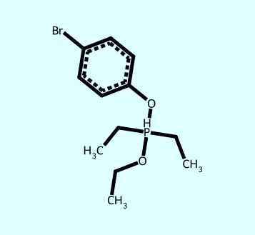 CCO[PH](CC)(CC)Oc1ccc(Br)cc1